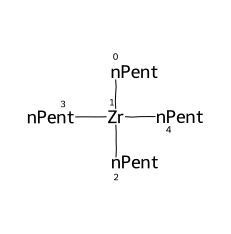 CCCC[CH2][Zr]([CH2]CCCC)([CH2]CCCC)[CH2]CCCC